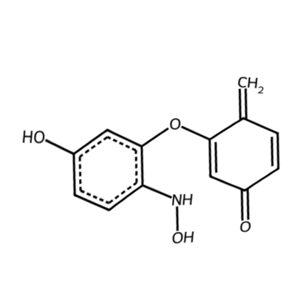 C=C1C=CC(=O)C=C1Oc1cc(O)ccc1NO